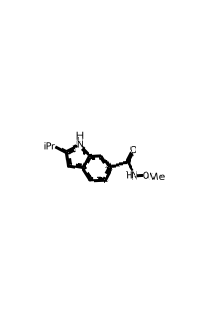 CONC(=O)c1ccc2cc(C(C)C)[nH]c2c1